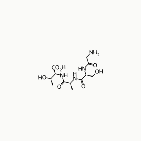 C[C@H](NC(=O)[C@H](CO)NC(=O)CN)C(=O)N[C@H](C(=O)O)[C@@H](C)O